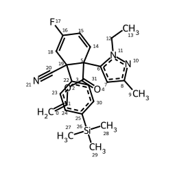 C=COC(=O)C1(c2cc(C)nn2CC)C=CC(F)=CC1(C#N)c1ccc([Si](C)(C)C)cc1